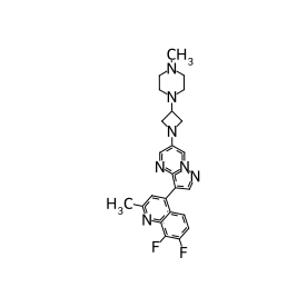 Cc1cc(-c2cnn3cc(N4CC(N5CCN(C)CC5)C4)cnc23)c2ccc(F)c(F)c2n1